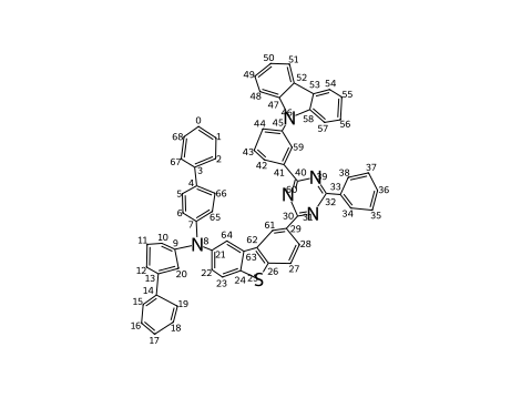 c1ccc(-c2ccc(N(c3cccc(-c4ccccc4)c3)c3ccc4sc5ccc(-c6nc(-c7ccccc7)nc(-c7cccc(-n8c9ccccc9c9ccccc98)c7)n6)cc5c4c3)cc2)cc1